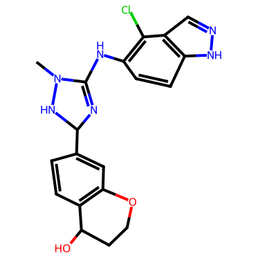 CN1NC(c2ccc3c(c2)OCCC3O)N=C1Nc1ccc2[nH]ncc2c1Cl